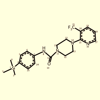 C[Si](C)(C)c1ccc(NC(=O)N2CCN(c3ncccc3C(F)(F)F)CC2)cc1